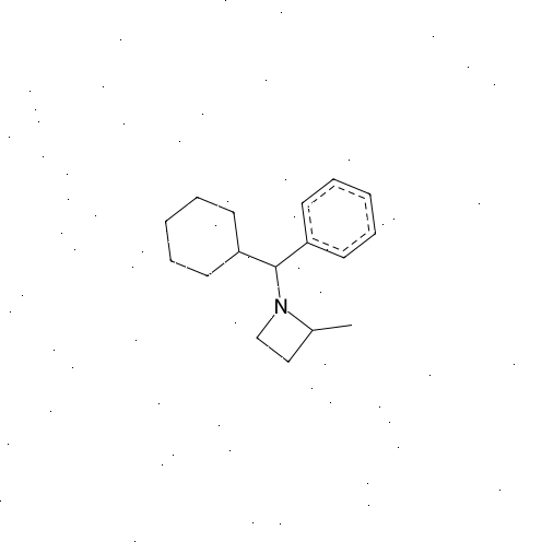 CC1CCN1C(c1ccccc1)C1CCCCC1